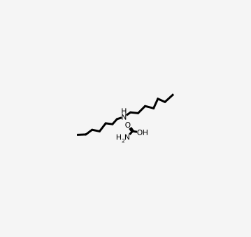 CCCCCCCNCCCCCCC.NC(=O)O